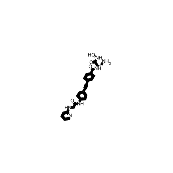 NC[C@H](NC(=O)c1ccc(C#Cc2ccc(NC(=O)CNc3ccccn3)cc2)cc1)C(=O)NO